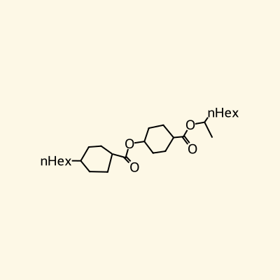 CCCCCCC1CCC(C(=O)OC2CCC(C(=O)OC(C)CCCCCC)CC2)CC1